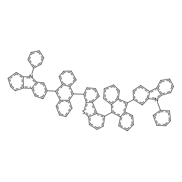 c1ccc(-n2c3ccccc3c3ccc(-c4c5ccccc5c(-c5cccc6c5sc5cccc(-c7c8ccccc8c(-c8ccc9c%10ccccc%10n(-c%10ccccc%10)c9c8)c8ccccc78)c56)c5ccccc45)cc32)cc1